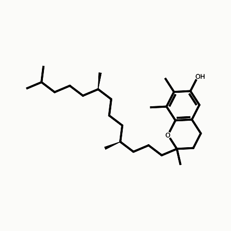 Cc1c(O)cc2c(c1C)OC(C)(CCC[C@@H](C)CCC[C@H](C)CCCC(C)C)CC2